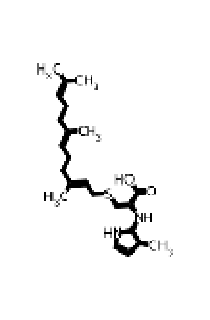 CC(C)=CCC/C(C)=C/CC/C(C)=C/CSCC(NC1NC=CC1C)C(=O)O